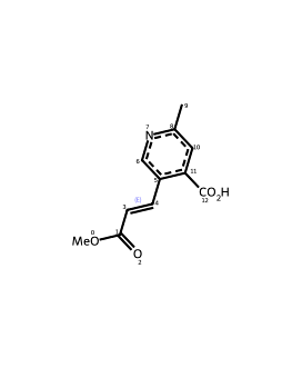 COC(=O)/C=C/c1cnc(C)cc1C(=O)O